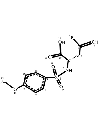 C=C(F)C[C@H](NS(=O)(=O)c1ccc(OC)cc1)C(=O)O